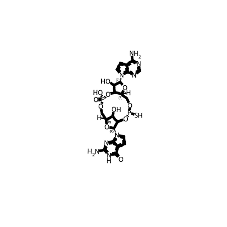 Nc1nc2c(ccn2[C@@H]2O[C@@H]3COP(=O)(O)OC4C(O)[C@H](n5ccc6c(N)ncnc65)O[C@@H]4COP(S)OC2C3O)c(=O)[nH]1